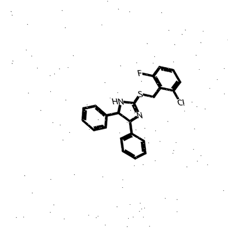 Fc1cccc(Cl)c1CSC1=NC(c2ccccc2)C(c2ccccc2)N1